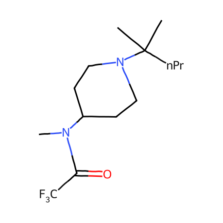 CCCC(C)(C)N1CCC(N(C)C(=O)C(F)(F)F)CC1